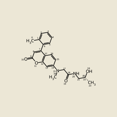 Cc1ccccc1-c1cc(=O)oc2cc(N(C)CC(=O)NC[C@@H](C)O)ccc12